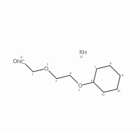 O=CCOCCOC1CCCCC1.[KH]